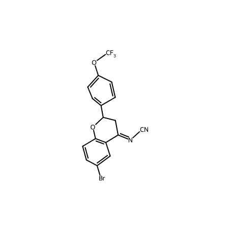 N#CN=C1CC(c2ccc(OC(F)(F)F)cc2)Oc2ccc(Br)cc21